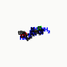 CC1(NC(=O)OC(C)(C)C)CCN(c2cnc(Sc3ccnc(N)c3Cl)c(N)n2)CC1